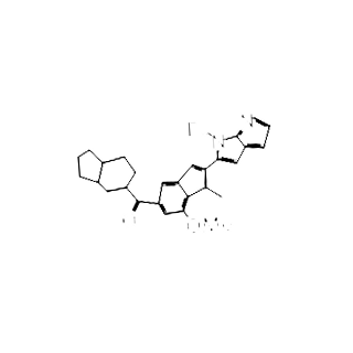 CCn1c(C2=Cc3cc(C(=O)C4CCC5CCCC5C4)cc(OC)c3C2C)cc2cccnc21